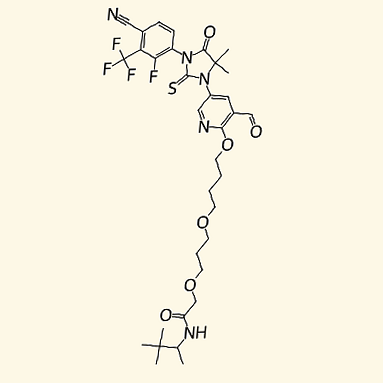 CC(NC(=O)COCCCOCCCCOc1ncc(N2C(=S)N(c3ccc(C#N)c(C(F)(F)F)c3F)C(=O)C2(C)C)cc1C=O)C(C)(C)C